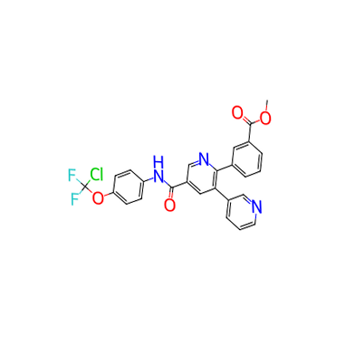 COC(=O)c1cccc(-c2ncc(C(=O)Nc3ccc(OC(F)(F)Cl)cc3)cc2-c2cccnc2)c1